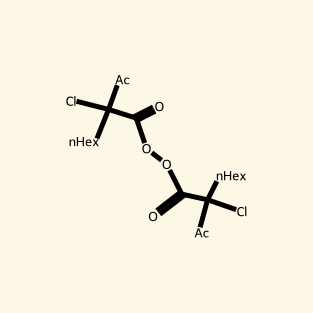 CCCCCCC(Cl)(C(C)=O)C(=O)OOC(=O)C(Cl)(CCCCCC)C(C)=O